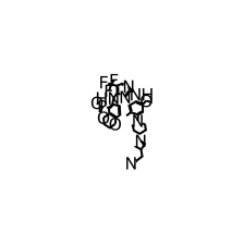 COc1cc(N2CCC(N3CC(CC#N)C3)CC2)c(C)cc1Nc1ncc(C(F)(F)F)c(Nc2ccc3c(c2P(C)(C)=O)OCCO3)n1